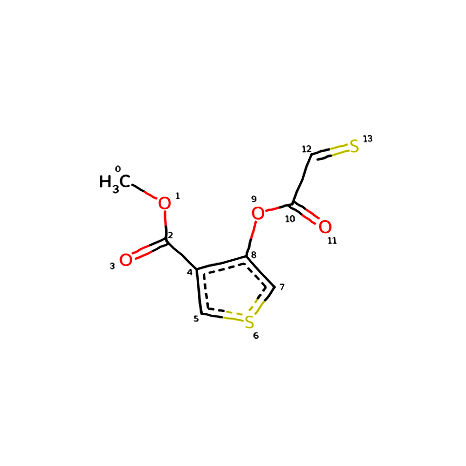 COC(=O)c1cscc1OC(=O)C=S